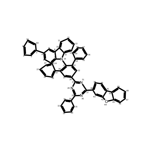 c1ccc(-c2ccc3c(c2)c2ccccc2n3-c2c(-c3ccccc3)cc(-c3nc(-c4ccccc4)nc(-c4ccc5c(c4)oc4ccccc45)n3)cc2-c2ccccc2)cc1